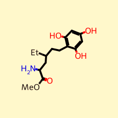 CCC(CCc1c(O)cc(O)cc1O)CC(N)C(=O)OC